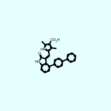 Cc1[nH]c(/C=C2\C(=O)Nc3cccc(-c4ccc(-c5ccccc5)cc4)c32)c(C)c1C(=O)O